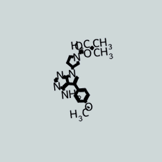 COc1ccc(-c2cn(C3CCN(C(=O)OC(C)(C)C)C3)c3ncnc(N)c23)cc1